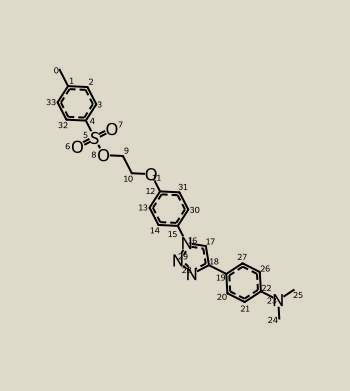 Cc1ccc(S(=O)(=O)OCCOc2ccc(-n3cc(-c4ccc(N(C)C)cc4)nn3)cc2)cc1